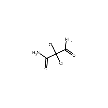 NC(=O)C(Cl)(Cl)C(N)=O